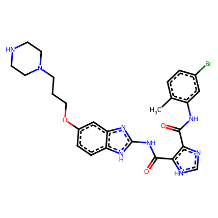 Cc1ccc(Br)cc1NC(=O)c1nc[nH]c1C(=O)Nc1nc2cc(OCCCN3CCNCC3)ccc2[nH]1